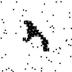 CCOC(=O)N1CCc2c([nH]c3ccc(Cl)cc23)C1c1ccc(CCCCCN2CCN(CCO)CC2)cc1